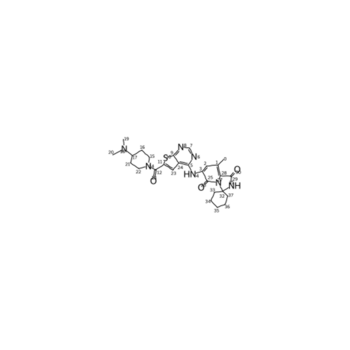 Cc1cc(Nc2ncnc3sc(C(=O)N4CCC(N(C)C)CC4)cc23)c(=O)n2c1C(=O)NC21CCCCC1